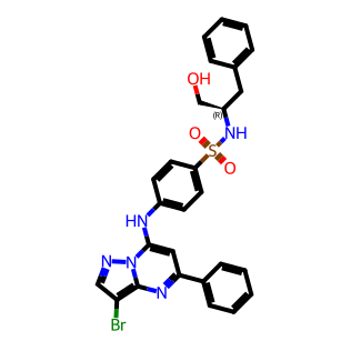 O=S(=O)(N[C@@H](CO)Cc1ccccc1)c1ccc(Nc2cc(-c3ccccc3)nc3c(Br)cnn23)cc1